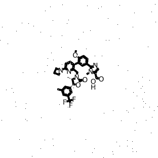 COc1ccc(-c2ncc(C(=O)O)n2C)cc1-c1ccc(N2CCC2)nc1CN1C(=O)O[C@H](c2cc(C)cc(C(F)(F)F)c2)[C@@H]1C